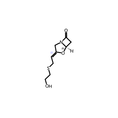 O=C1C[C@H]2O/C(=C\CSCCO)CN12